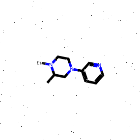 CCN1CCN(c2cccnc2)CC1C